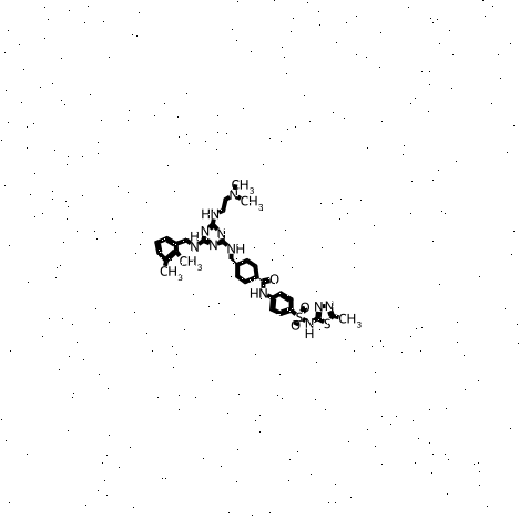 Cc1nnc(NS(=O)(=O)c2ccc(NC(=O)[C@H]3CC[C@H](CNc4nc(NCCN(C)C)nc(NCc5cccc(C)c5C)n4)CC3)cc2)s1